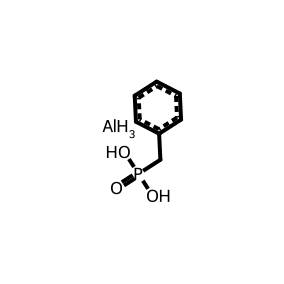 O=P(O)(O)Cc1ccccc1.[AlH3]